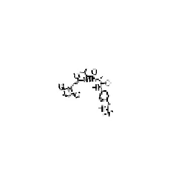 CC(C)C(NC(=O)CCN1C(=O)C=CC1=O)C(=O)N[C@@H](C)C(=O)Nc1ccc(CNC(C)(C)C)cc1